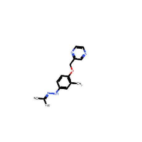 Cc1cc(NN=C(C#N)C#N)ccc1OCc1cnccn1